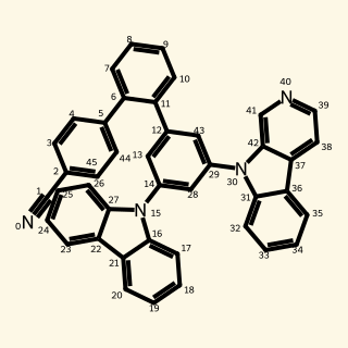 N#Cc1ccc(-c2ccccc2-c2cc(-n3c4ccccc4c4ccccc43)cc(-n3c4ccccc4c4ccncc43)c2)cc1